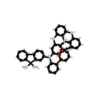 CC1(C)c2ccccc2-c2ccc(N(c3cc4c5c(c3)c3cccc6c3n5-c3c(cccc3O4)O6)c3ccccc3-c3ccccc3)cc21